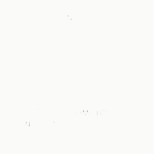 Br.COc1cc2c(cc1S(=O)(=O)N(C)C)CCNCC2c1ccccc1